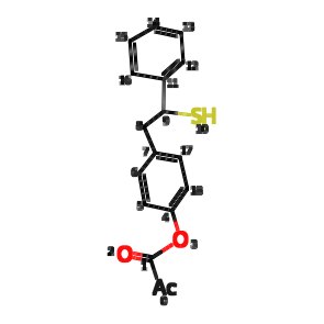 CC(=O)C(=O)Oc1ccc(CC(S)c2ccccc2)cc1